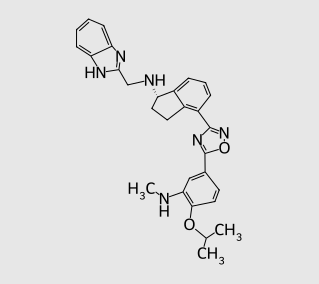 CNc1cc(-c2nc(-c3cccc4c3CC[C@@H]4NCc3nc4ccccc4[nH]3)no2)ccc1OC(C)C